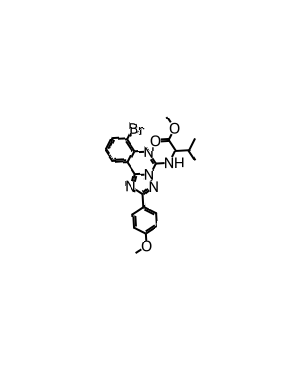 COC(=O)C(Nc1nc2c(Br)cccc2c2nc(-c3ccc(OC)cc3)nn12)C(C)C